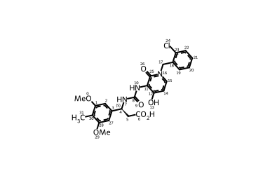 COc1cc([C@H](CC(=O)O)NC(=O)Nc2c(O)ccn(Cc3ccccc3Cl)c2=O)cc(OC)c1C